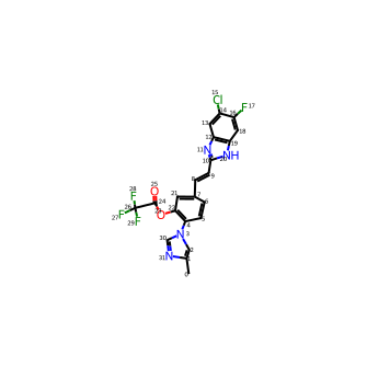 Cc1cn(-c2ccc(/C=C/c3nc4cc(Cl)c(F)cc4[nH]3)cc2OC(=O)C(F)(F)F)cn1